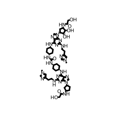 Cn1cnc(CCNc2nc(N[C@H]3CC[C@H](NC(=O)N[C@H]4CC[C@H](Nc5nc(NCCc6cn(C)cn6)nc6c5ncn6[C@@H]5C[C@H](NC(=O)CO)[C@@H](O)[C@H]5O)CC4)CC3)c3ncn([C@H]4CC[C@@H](NC(=O)CO)C4)c3n2)c1